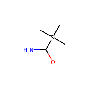 C[Si](C)(C)C(N)[O]